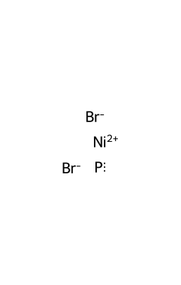 [Br-].[Br-].[Ni+2].[P]